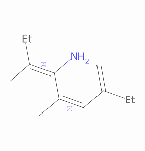 C=C(/C=C(C)\C(N)=C(/C)CC)CC